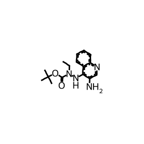 CCN(Nc1c(N)cnc2ccccc12)C(=O)OC(C)(C)C